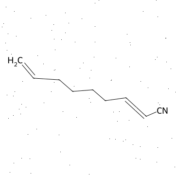 C=CCCCC/C=C/C#N